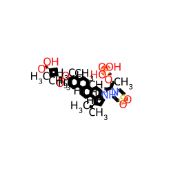 CC(OCP(=O)(O)O)C(CN[C@]12CC[C@@H](C(C)C)[C@@H]1[C@H]1CC[C@@H]3[C@@]4(C)CC[C@H](OC(=O)[C@H]5C[C@@H](C(=O)O)C5(C)C)C(C)(C)[C@@H]4CC[C@@]3(C)[C@]1(C)CC2)N1CCS(=O)(=O)CC1